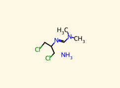 CN(C)/C=N/C(CCl)CCl.N